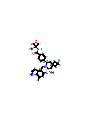 COc1cc(C)c2[nH]ccc2c1CN1CCC2(C[C@@H]1c1ccc(C(=O)NC3(C#N)COC3)cc1)CC(F)(F)C2